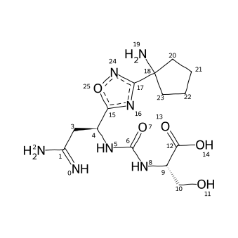 N=C(N)C[C@H](NC(=O)N[C@@H](CO)C(=O)O)c1nc(C2(N)CCCC2)no1